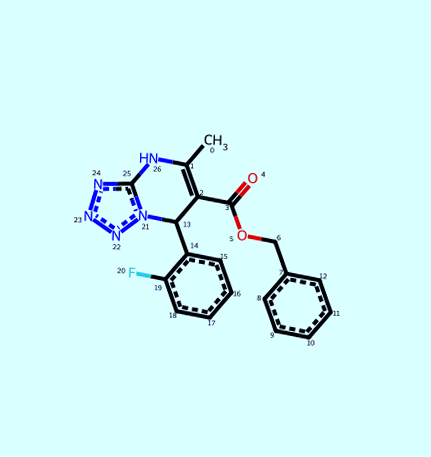 CC1=C(C(=O)OCc2ccccc2)C(c2ccccc2F)n2nnnc2N1